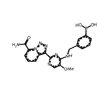 COc1cnc(-c2nnn3c(C(N)=O)cccc23)nc1NCc1cccc(B(O)O)c1